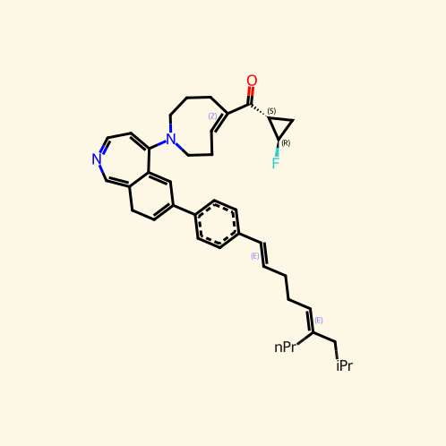 CCC/C(=C\CC/C=C/c1ccc(C2=CCC3=CN=CC=C(N4CC/C=C(\C(=O)[C@@H]5C[C@H]5F)CCC4)C3=C2)cc1)CC(C)C